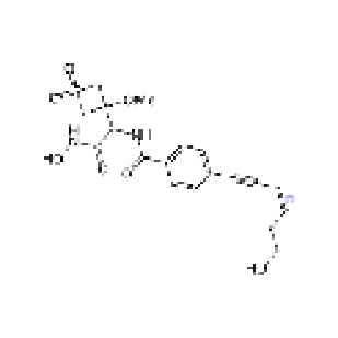 COC1(C(NC(=O)c2ccc(C#C/C=C\CCO)cc2)C(=O)NO)CS(=O)(=O)C1